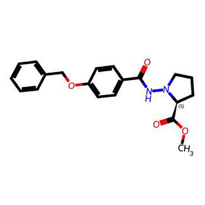 COC(=O)[C@@H]1CCCN1NC(=O)c1ccc(OCc2ccccc2)cc1